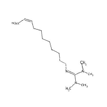 CCCCCCCC/C=C\CCCCCCCCN=C(N(C)C)N(C)C